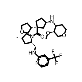 CO[C@@H]1COCC[C@@H]1N[C@@H]1CC[C@@](C(=O)N2C[C@@H](C)C[C@H]2CNc2cc(C(F)(F)F)ccn2)(C2CCOC2)C1